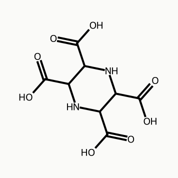 O=C(O)C1NC(C(=O)O)C(C(=O)O)NC1C(=O)O